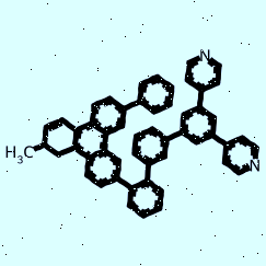 CC1C=Cc2c(c3ccc(-c4ccccc4-c4cccc(-c5cc(-c6ccncc6)cc(-c6ccncc6)c5)c4)cc3c3cc(-c4ccccc4)ccc23)C1